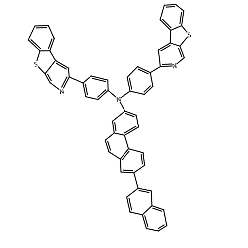 c1ccc2cc(-c3ccc4c(ccc5cc(N(c6ccc(-c7cc8c(cn7)sc7ccccc78)cc6)c6ccc(-c7cc8c(cn7)sc7ccccc78)cc6)ccc54)c3)ccc2c1